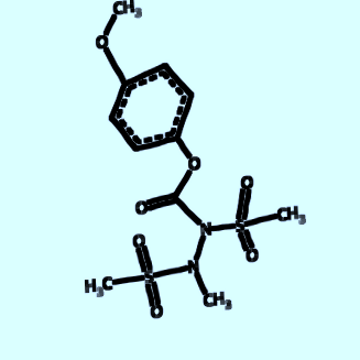 COc1ccc(OC(=O)N(N(C)S(C)(=O)=O)S(C)(=O)=O)cc1